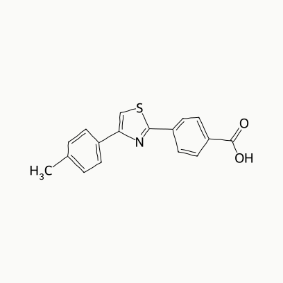 Cc1ccc(-c2csc(-c3ccc(C(=O)O)cc3)n2)cc1